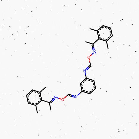 C/C(=N\O/C=N/c1cccc(/N=C/O/N=C(\C)c2c(C)cccc2C)c1)c1c(C)cccc1C